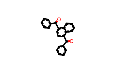 O=C(c1ccccc1)c1ccc(C(=O)c2ccccc2)c2ccccc12